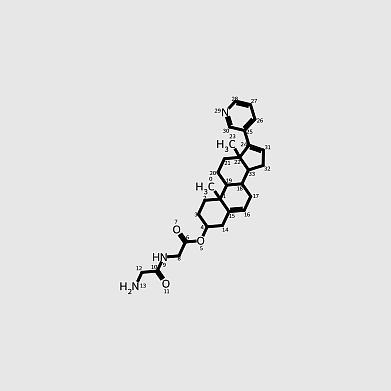 CC12CCC(OC(=O)CNC(=O)CN)CC1=CCC1C2CCC2(C)C(c3cccnc3)=CCC12